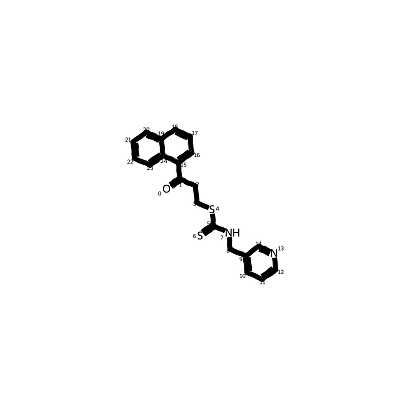 O=C(CCSC(=S)NCc1cccnc1)c1cccc2ccccc12